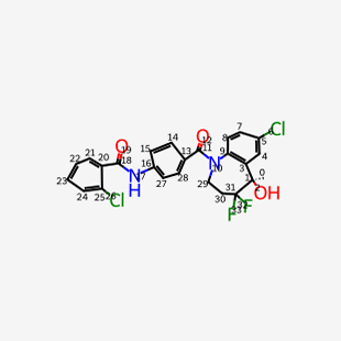 C[C@@]1(O)c2cc(Cl)ccc2N(C(=O)c2ccc(NC(=O)c3ccccc3Cl)cc2)CCC1(F)F